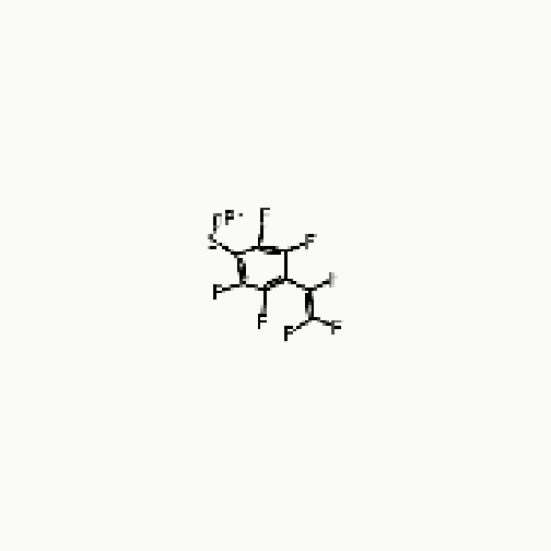 CCCSc1c(F)c(F)c(C(F)=C(F)F)c(F)c1F